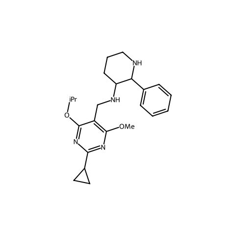 COc1nc(C2CC2)nc(OC(C)C)c1CNC1CCCNC1c1ccccc1